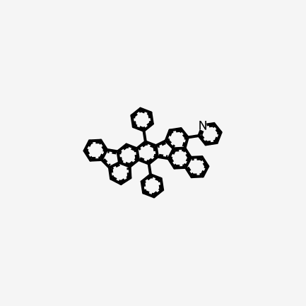 c1ccc(-c2c3cc4c5ccccc5c5cccc(c3c(-c3ccccc3)c3c6cc7ccccc7c7c(-c8ccccn8)ccc(c23)c67)c54)cc1